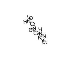 C=CC(=O)Nc1ccc2c(c1)C(=O)N([C@H]1CCC[C@@H](Nc3ncc(CC)cn3)C1)C2